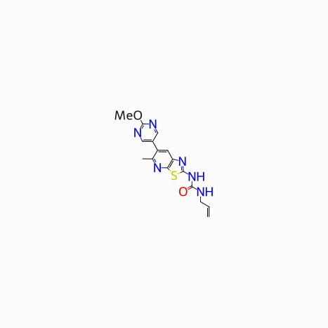 C=CCNC(=O)Nc1nc2cc(-c3cnc(OC)nc3)c(C)nc2s1